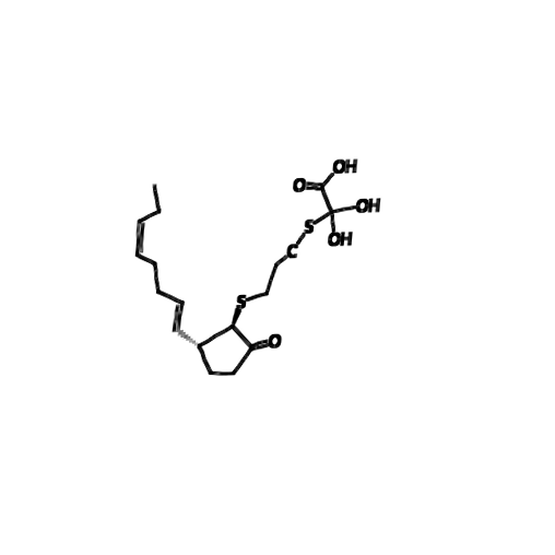 CC/C=C\CC/C=C/[C@H]1CCC(=O)[C@@H]1SCCCSC(O)(O)C(=O)O